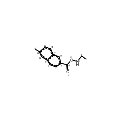 CCNOC(=O)c1ccc2cc(C)ccc2c1